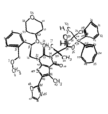 COCc1ccccc1[C@H](Cn1c(=O)n(C(C)(C)C(=O)O[Si](c2ccccc2)(c2ccccc2)C(C)(C)C)c(=O)c2c(C)c(-c3ncco3)sc21)OC1CCOCC1